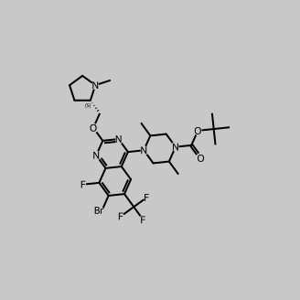 CC1CN(c2nc(OC[C@@H]3CCCN3C)nc3c(F)c(Br)c(C(F)(F)F)cc23)C(C)CN1C(=O)OC(C)(C)C